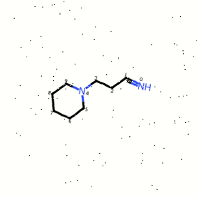 N=CCCN1CCCCC1